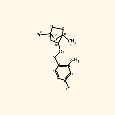 Cc1cc(F)ccc1COC1CC2(C(C)C)CCC1(C)O2